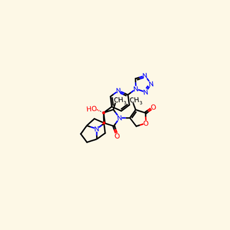 CC1=C(N2C(=O)C3(CC2C)CC2CCC(C3)N2C[C@H](O)c2ccc(-n3cnnn3)nc2)COC1=O